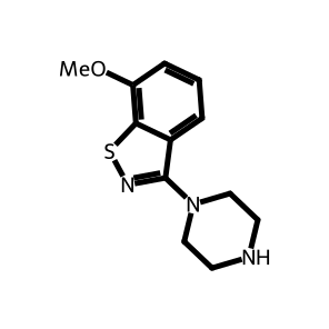 COc1cccc2c(N3CCNCC3)nsc12